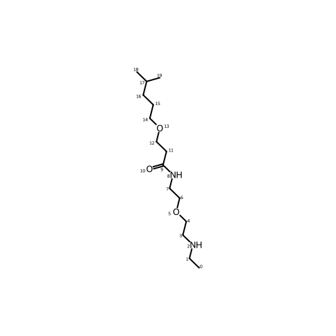 CCNCCOCCNC(=O)CCOCCCC(C)C